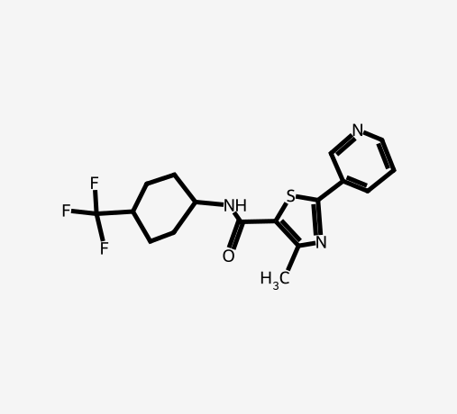 Cc1nc(-c2cccnc2)sc1C(=O)NC1CCC(C(F)(F)F)CC1